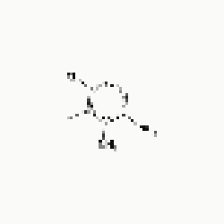 Cc1c(Cl)ccc([N+](=O)[O-])c1N